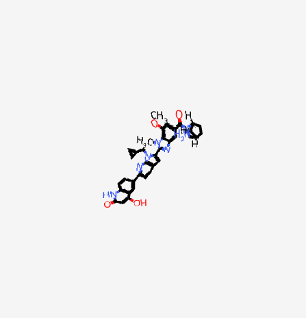 COc1cc(C(=O)N2C[C@H]3CC[C@@H]2[C@@H]3N)cc2nc(-c3cc4ccc(-c5ccc6[nH]c(=O)cc(O)c6c5)nc4n3CC3CC3)n(C)c12